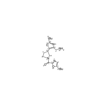 CC(C)(C)c1cnc(C(=O)N2CCC(c3oc(C(C)(C)C)nc3CN)C2)o1